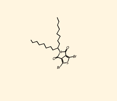 CCCCCCCCC(CCCCCCCC)N1C(=O)c2c(Br)sc(Br)c2C1=O